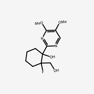 COc1cnc(C2(O)CCCCC2(F)CO)nc1OC